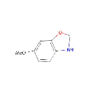 COc1ccc2c(c1)OCN2